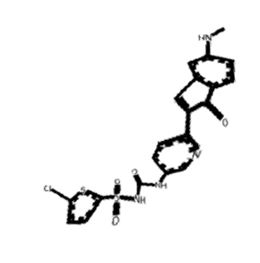 CNc1ccc2c(c1)C=C(c1ccc(NC(=O)NS(=O)(=O)c3ccc(Cl)s3)cn1)C2=O